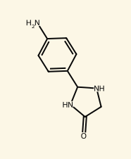 Nc1ccc(C2NCC(=O)N2)cc1